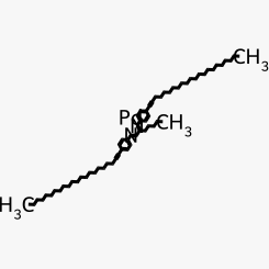 CCCCCCCCCCCCCCCCCCCCC#Cc1ccc(N=CC(CCCCC)=Nc2ccc(C#CCCCCCCCCCCCCCCCCCCCC)cc2)cc1.[Pd]